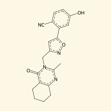 Cc1nc2c(c(=O)n1Cc1cc(-c3cc(O)ccc3C#N)on1)CCCC2